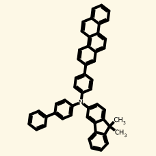 CC1(C)c2ccccc2-c2cc(N(c3ccc(-c4ccccc4)cc3)c3ccc(-c4ccc5c(ccc6c7ccccc7ccc56)c4)cc3)ccc21